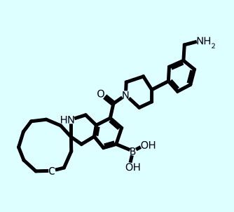 NCc1cccc(C2CCN(C(=O)c3cc(B(O)O)cc4c3CNC3(CCCCCCCCCC3)C4)CC2)c1